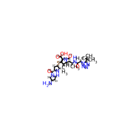 C[C@@H](NC(=O)Cn1nnnc1C(C)(C)C)[C@H]1C(=O)N2C(C(=O)O)=C(S[C@@H]3CN[C@H](C(=O)N4CC[C@@H](N)C4)C3)[C@H](C)[C@H]12